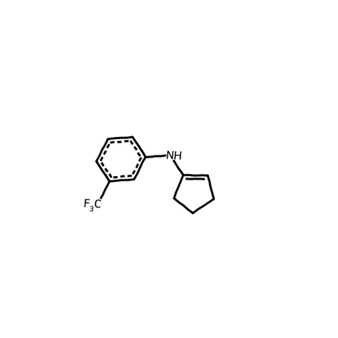 FC(F)(F)c1cccc(NC2=CCCC2)c1